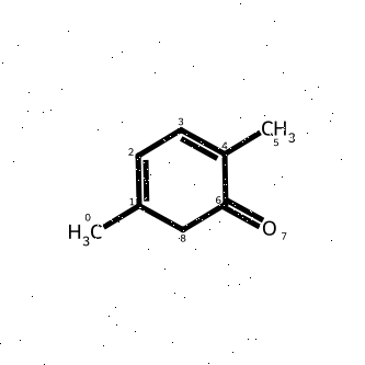 CC1=CC=C(C)C(=O)C1